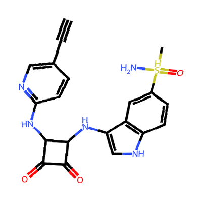 C#Cc1ccc(NC2C(=O)C(=O)C2Nc2c[nH]c3ccc([SH](C)(N)=O)cc23)nc1